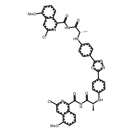 COc1cccc2c(C(=O)NC(=O)[C@H](C)Nc3ccc(-c4nnc(-c5ccc(N[C@@H](C)C(=O)NC(=O)c6nc(Cl)cc7c(OC)cccc67)cc5)o4)cc3)nc(Cl)cc12